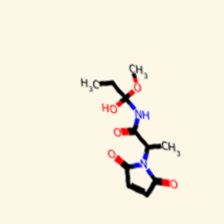 CCC(O)(NC(=O)C(C)N1C(=O)C=CC1=O)OC